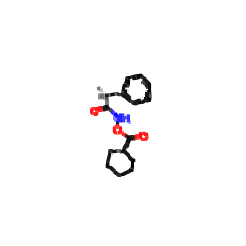 C[C@@H](C(=O)NOC(=O)C1CCCCC1)c1ccccc1